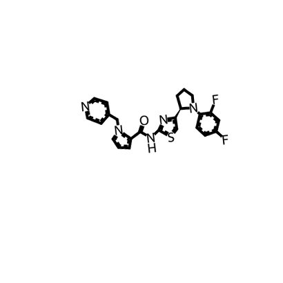 O=C(Nc1nc([C@H]2CCCN2c2ccc(F)cc2F)cs1)c1cccn1Cc1ccncc1